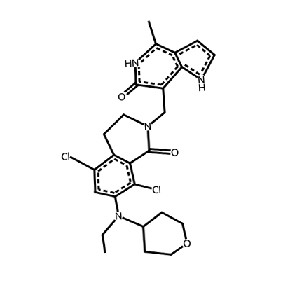 CCN(c1cc(Cl)c2c(c1Cl)C(=O)N(Cc1c(=O)[nH]c(C)c3cc[nH]c13)CC2)C1CCOCC1